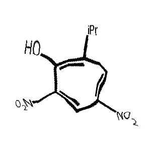 CC(C)c1cc([N+](=O)[O-])cc([N+](=O)[O-])c1O